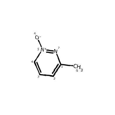 Cc1cc[c][n+]([O-])n1